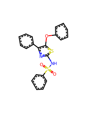 O=S(=O)(Nc1nc(-c2ccccc2)c(Oc2ccccc2)s1)c1ccccc1